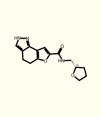 O=C(NC[C@@H]1CCCO1)c1cc2c(o1)CCc1c[nH]nc1-2